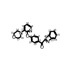 O=C(c1ccc(Oc2ncccc2N2CCOCC2)cc1)c1nc2ccccc2s1